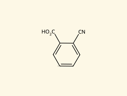 N#Cc1cc[c]cc1C(=O)O